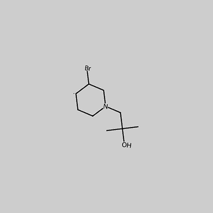 CC(C)(O)CN1CC[CH]C(Br)C1